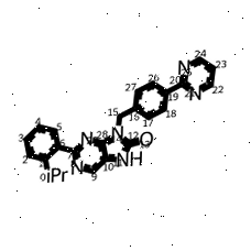 CC(C)c1ccccc1-c1ncc2[nH]c(=O)n(Cc3ccc(-c4ncccn4)cc3)c2n1